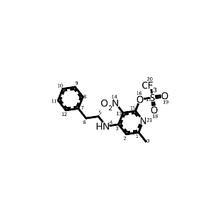 Cc1cc(NCCc2ccccc2)c([N+](=O)[O-])c(OS(=O)(=O)C(F)(F)F)n1